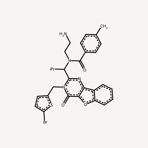 Cc1ccc(C(=O)N(CCN)C(c2nc3c(oc4ccccc43)c(=O)n2Cc2ccc(Br)s2)C(C)C)cc1